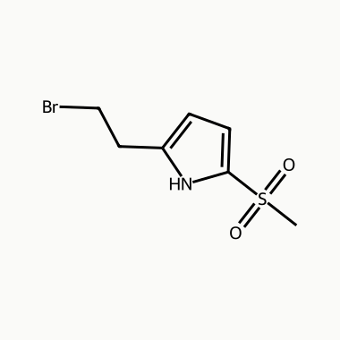 CS(=O)(=O)c1ccc(CCBr)[nH]1